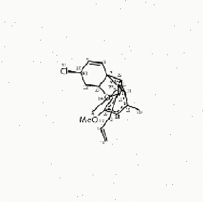 C=CC[N+]1(C)CCC23C=C[C@H](Cl)CC2Oc2c(OC)cc(C)c(c23)C1